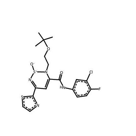 CC(C)(C)OCCN1C(C(=O)Nc2ccc(F)c(Cl)c2)=CC(c2nccs2)=N[S+]1[O-]